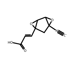 [C-]#[N+]C12CC3(C=CC(=O)O)OC3C1O2